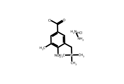 Cc1cc(C(=O)Cl)cc(C[Si](C)(C)C)c1[N+](=O)[O-].Cl.NN